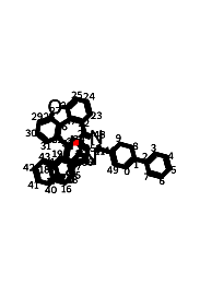 C1=C(c2ccccc2)CCC(c2nc(-c3ccccc3)nc(-c3cccc4oc5cccc(-c6cccc7sc8ccccc8c67)c5c34)n2)=C1